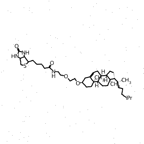 CC(C)CCC[C@@H](C)[C@H]1CC[C@H]2[C@@H]3CC=C4C[C@H](OCCOCCNC(=O)CCCCC5SCC6NC(=O)NC65)CC[C@]4(C)[C@H]3CC[C@]12C